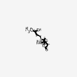 CC(O)CCOc1c2c3oc1c(C(C)(C)O)c3C(=O)O2